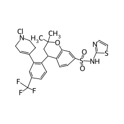 CC1(C)CC(c2ccc(C(F)(F)F)cc2C2=CCN(Cl)CC2)c2ccc(S(=O)(=O)Nc3nccs3)cc2O1